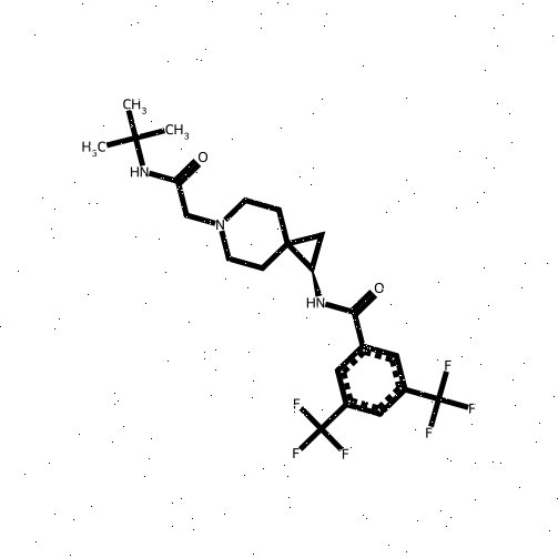 CC(C)(C)NC(=O)CN1CCC2(CC1)C[C@H]2NC(=O)c1cc(C(F)(F)F)cc(C(F)(F)F)c1